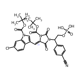 CC(C)(C)OC(=O)N1C(=O)N(C(COP(=O)(O)O)c2ccc(C#N)cc2)C(=O)/C1=C/c1cn(C(=O)OC(C)(C)C)c2cc(Cl)ccc12